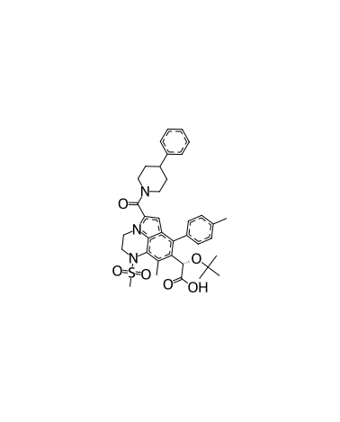 Cc1ccc(-c2c([C@H](OC(C)(C)C)C(=O)O)c(C)c3c4c2cc(C(=O)N2CCC(c5ccccc5)CC2)n4CCN3S(C)(=O)=O)cc1